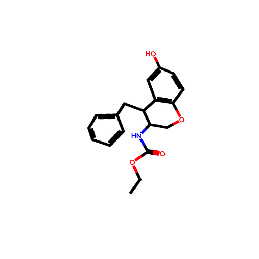 CCOC(=O)NC1COc2ccc(O)cc2C1Cc1ccccc1